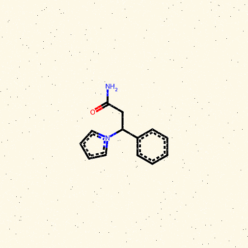 NC(=O)CC(c1ccccc1)n1cccc1